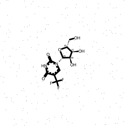 O=c1[nH]c(=O)n([C@@H]2O[C@H](CO)[C@@H](O)[C@H]2O)cc1C(F)(F)F